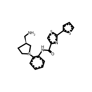 NC[C@@H]1CCN(c2ccccc2NC(=O)c2csc(-c3cccs3)n2)C1